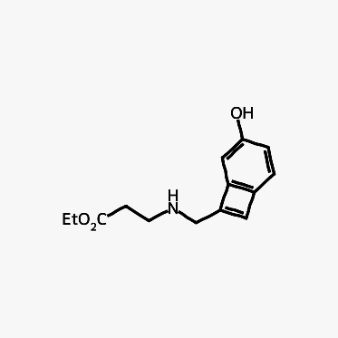 CCOC(=O)CCNCC1=Cc2ccc(O)cc21